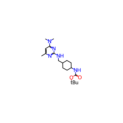 Cc1cc(N(C)C)nc(NCC2CCC(NC(=O)OC(C)(C)C)CC2)n1